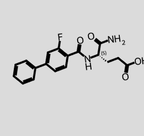 NC(=O)[C@H](CCC(=O)O)NC(=O)c1ccc(-c2ccccc2)cc1F